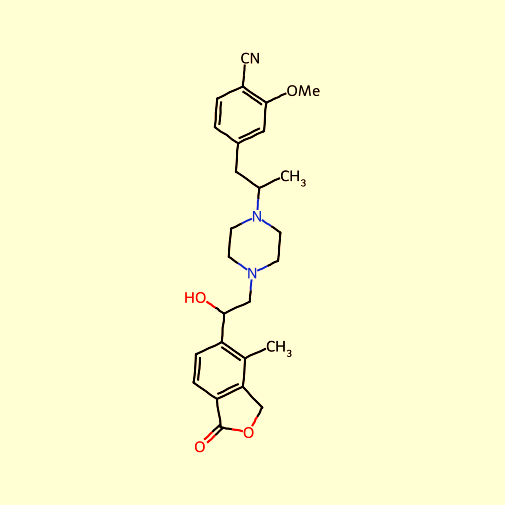 COc1cc(CC(C)N2CCN(CC(O)c3ccc4c(c3C)COC4=O)CC2)ccc1C#N